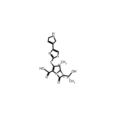 C[C@H]1C(Sc2nc(C3=CCNC3)cs2)=C(C(=O)O)N2C(=O)[C@H]([C@@H](C)O)C12